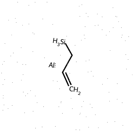 C=CC[SiH3].[Al]